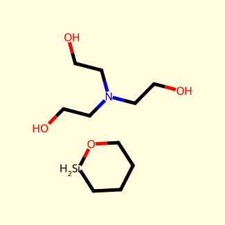 C1CC[SiH2]OC1.OCCN(CCO)CCO